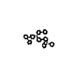 c1ccc(-c2cccc(N(c3ccc(-c4ccccc4-c4ccccc4)cc3)c3cccc(-c4cccc5c4c4ccccc4n5-c4ccccc4)c3)c2)cc1